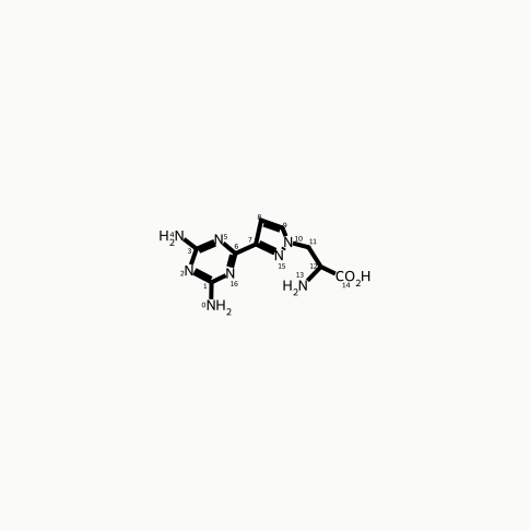 Nc1nc(N)nc(-c2ccn(CC(N)C(=O)O)n2)n1